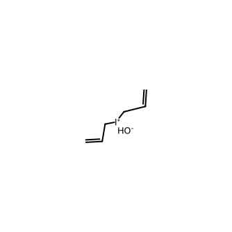 C=CC[I+]CC=C.[OH-]